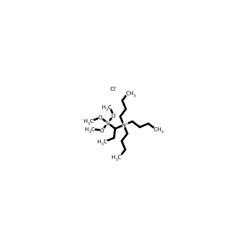 CCCC[N+](CCCC)(CCCC)C(CC)[Si](OC)(OC)OC.[Cl-]